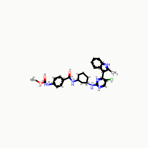 Cc1[nH]c2ccccc2c1-c1nc(N[C@@H]2CCCC(NC(=O)c3ccc(NC(=O)OC(C)(C)C)cc3)C2)ncc1Cl